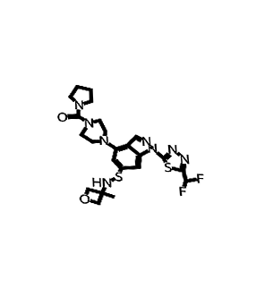 CC1(NSc2cc(N3CCN(C(=O)N4CCCC4)CC3)c3cnn(-c4nnc(C(F)F)s4)c3c2)COC1